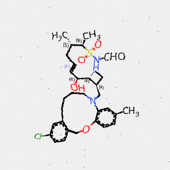 Cc1ccc2c(c1)N(C[C@@H]1CC[C@H]1[C@@H](O)/C=C/C[C@H](C)[C@@H](C)S(=O)(=O)NC=O)CCCCc1cc(Cl)ccc1CO2